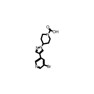 O=C(O)N1CCC(n2cc(-c3cncc(Br)c3)cn2)CC1